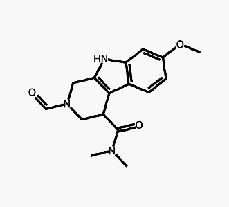 COc1ccc2c3c([nH]c2c1)CN(C=O)CC3C(=O)N(C)C